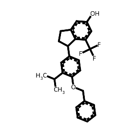 CC(C)c1cc(C2CCc3cc(O)cc(C(F)(F)F)c32)ccc1OCc1ccccc1